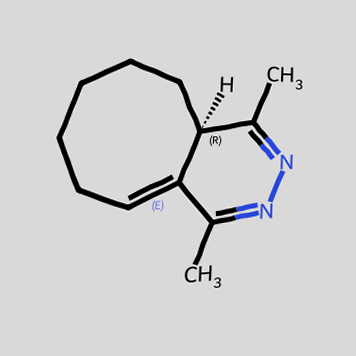 CC1=NN=C(C)[C@@H]2CCCCC/C=C/12